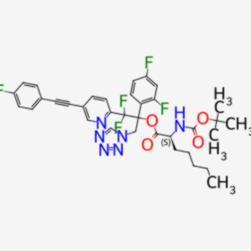 CCCCC[C@H](NC(=O)OC(C)(C)C)C(=O)OC(Cn1cnnn1)(c1ccc(F)cc1F)C(F)(F)c1ccc(C#Cc2ccc(F)cc2)cn1